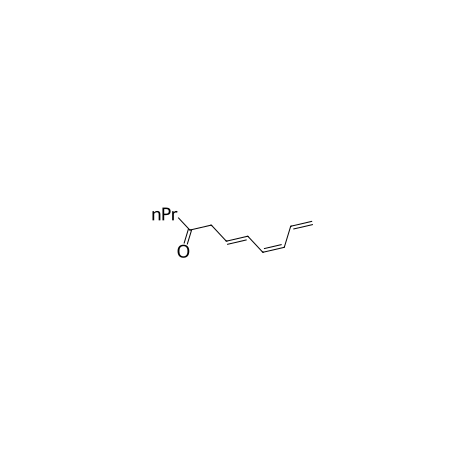 C=C/C=C\C=C\CC(=O)CCC